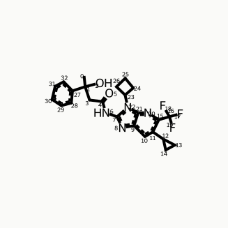 CC(O)(CC(=O)Nc1nc2cc(C3CC3)c(C(F)(F)F)nc2n1C1CCC1)c1ccccc1